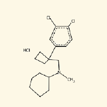 CN(CC1(c2ccc(Cl)c(Cl)c2)CCC1)C1CCCCC1.Cl